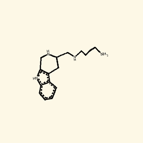 NCCCNCC1Cc2c([nH]c3ccccc23)CN1